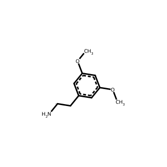 COc1cc(C[CH]N)cc(OC)c1